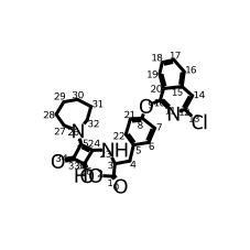 O=C(O)C(Cc1ccc(Oc2nc(Cl)cc3ccccc23)cc1)Nc1c(N2CCCCCC2)c(=O)c1=O